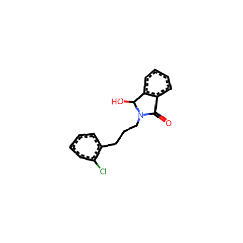 O=C1c2ccccc2C(O)N1CCCc1ccccc1Cl